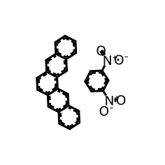 O=[N+]([O-])c1cccc([N+](=O)[O-])c1.c1ccc2cc3c(ccc4cc5ccccc5cc43)cc2c1